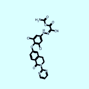 N#CC(=NNc1cc(Cl)c(Oc2ccc3c(c2)CCN(c2ncccn2)C3=O)c(Cl)c1)C(=O)OC(N)=O